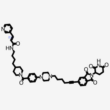 O=C(/C=C/c1cccnc1)NCCCCC1CCN(C(=O)c2ccc(N3CCN(CCCCC#Cc4ccc5c(c4)C(=O)N(C4CCC(=O)NC4=O)C5=O)CC3)cc2)CC1